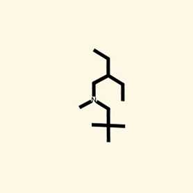 CCC(CC)CN(C)CC(C)(C)C